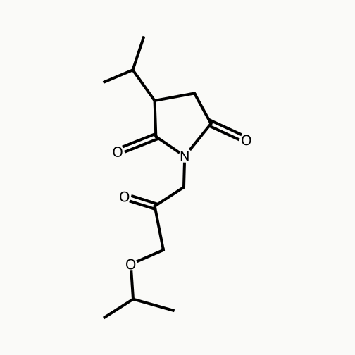 CC(C)OCC(=O)CN1C(=O)CC(C(C)C)C1=O